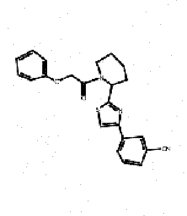 N#Cc1cccc(-c2csc(C3CCCCN3C(=O)COc3ccccc3)n2)c1